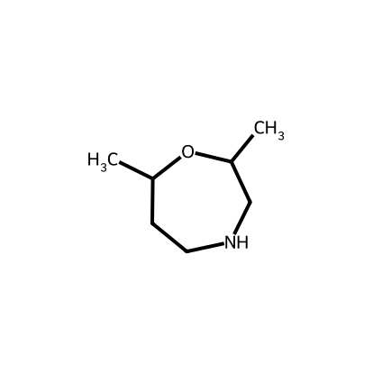 CC1CCNCC(C)O1